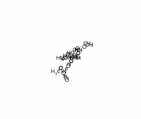 Cc1ccccc1[C@H]1CC[C@H](N2CCOCC2)CN1C1CC2(CCN(c3ccc(C(=O)NS(=O)(=O)c4ccc(NC[C@H]5CC[C@](C)(O)CC5)c([N+](=O)[O-])c4)c(N4c5cc6cc[nH]c6nc5O[C@H]5COCC[C@@H]54)c3)CC2)C1